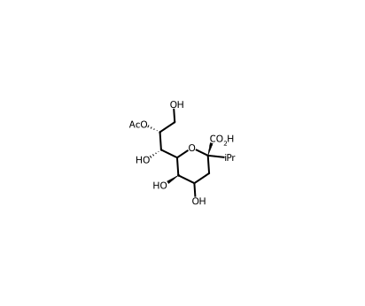 CC(=O)O[C@H](CO)[C@@H](O)C1O[C@](C(=O)O)(C(C)C)CC(O)[C@H]1O